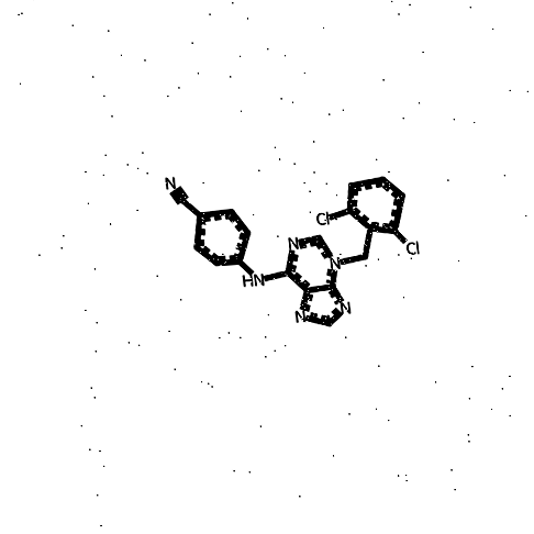 N#Cc1ccc(Nc2ncn(Cc3c(Cl)cccc3Cl)c3ncnc2-3)cc1